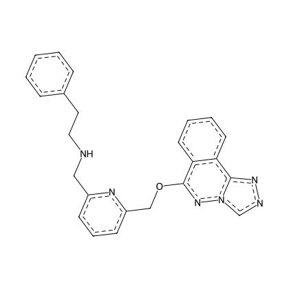 c1ccc(CCNCc2cccc(COc3nn4cnnc4c4ccccc34)n2)cc1